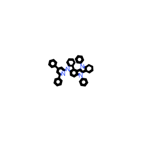 C1=CCC2C(=C1)N(c1cc(-c3ccccc3)cc(-c3ccccc3)n1)c1ccc3c(c12)c1c(c2c(n1-c1ccccc1)CCC=C2)n3-c1ccccc1